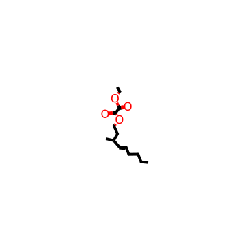 CCCCC=CC(C)CCOC(=O)C(=O)OCC